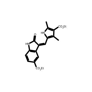 CCOC(=O)c1ccc2c(c1)C(=Cc1[nH]c(C)c(C(=O)OCC)c1C)C(=O)N2